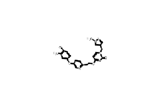 Cn1cc(Cn2ccc(OCCc3ccc(Oc4ccc(Cl)c(C(F)(F)F)c4)cn3)nc2=O)cn1